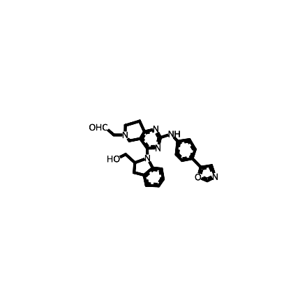 O=CCN1CCc2nc(Nc3ccc(-c4cnco4)cc3)nc(N3c4ccccc4CC3CO)c2C1